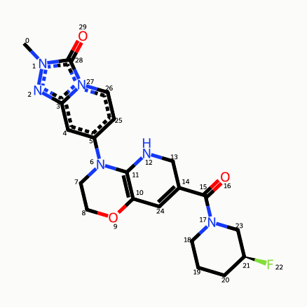 Cn1nc2cc(N3CCOC4=C3NCC(C(=O)N3CCC[C@H](F)C3)=C4)ccn2c1=O